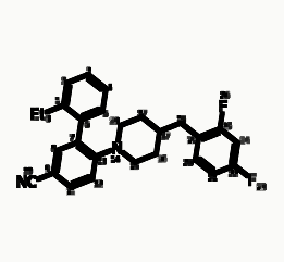 CCc1ccccc1-c1cc(C#N)ccc1N1CCC(Cc2ccc(F)cc2F)CC1